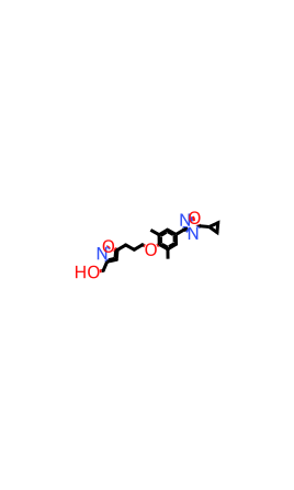 Cc1cc(-c2noc(C3CC3)n2)cc(C)c1OCCCc1cc(CO)no1